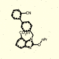 CCCOc1nc2cccc(C(=O)OCC)c2n1Cc1ccc(-c2ccccc2C#N)cc1